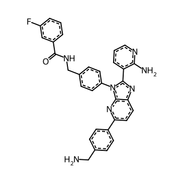 NCc1ccc(-c2ccc3nc(-c4cccnc4N)n(-c4ccc(CNC(=O)c5cccc(F)c5)cc4)c3n2)cc1